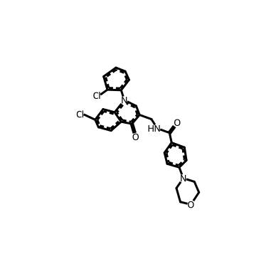 O=C(NCc1cn(-c2ccccc2Cl)c2cc(Cl)ccc2c1=O)c1ccc(N2CCOCC2)cc1